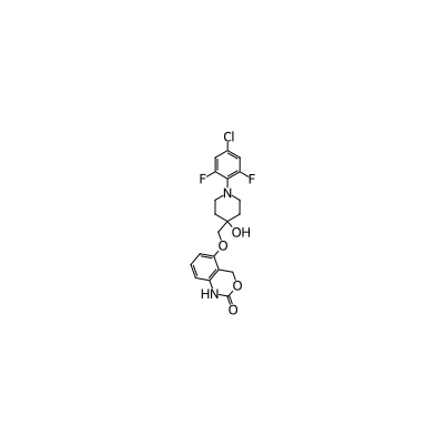 O=C1Nc2cccc(OCC3(O)CCN(c4c(F)cc(Cl)cc4F)CC3)c2CO1